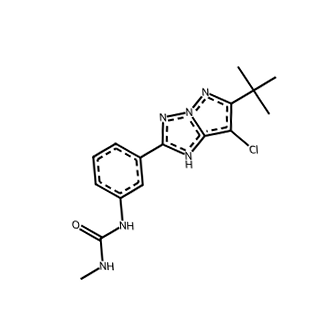 CNC(=O)Nc1cccc(-c2nn3nc(C(C)(C)C)c(Cl)c3[nH]2)c1